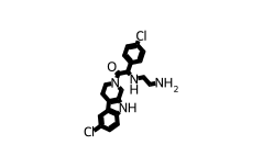 NCCNC(C(=O)N1CCc2c([nH]c3ccc(Cl)cc23)C1)c1ccc(Cl)cc1